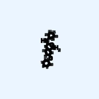 Nc1cc(Oc2ccccc2)ccc1CC(=O)Nc1ccccc1